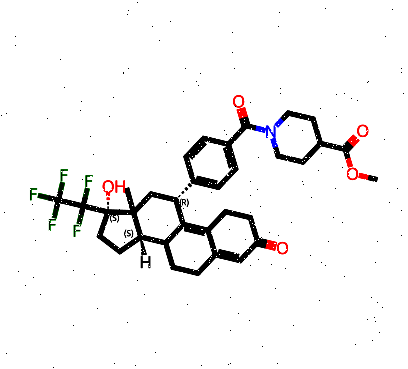 COC(=O)C1CCN(C(=O)c2ccc([C@H]3CC4(C)[C@@H](CC[C@@]4(O)C(F)(F)C(F)(F)F)C4CCC5=CC(=O)CCC5=C43)cc2)CC1